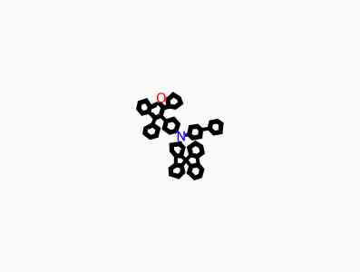 c1ccc(-c2ccc(N(c3ccc(-c4c(-c5ccccc5)c5ccccc5c5oc6ccccc6c45)cc3)c3ccc4c(c3)C3(c5ccccc5-c5ccccc53)c3ccccc3-4)cc2)cc1